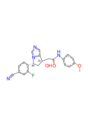 COc1ccc(NC(=O)C[C@@]2(O)C[C@H](c3ccc(C#N)cc3F)n3cncc32)cc1